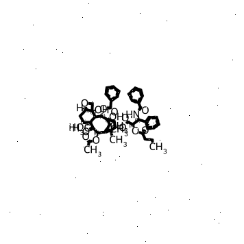 CCCC(=O)O[C@@H](C(=O)O[C@H]1C[C@@]2(O)[C@@H](OC(=O)c3ccccc3)C3[C@]4(O)CO[C@@H]4C[C@H](O)[C@@]3(C)C(=O)[C@H](OC(C)=O)C(=C1C)C2(C)C)[C@@H](NC(=O)c1ccccc1)c1ccccc1